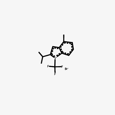 Cc1cccc2c1cc(C(C)C)[s+]2C(F)(F)F.[Br-]